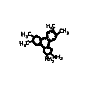 Cc1cc2c3cc(C)c(C)cc3c3cc(N)c(N)cc3c2cc1C